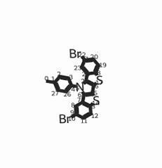 Cc1ccc(-n2c3c4cc(Br)ccc4sc3c3sc4ccc(Br)cc4c32)cc1